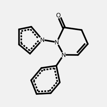 O=C1CC=CN(c2ccccc2)N1n1cccc1